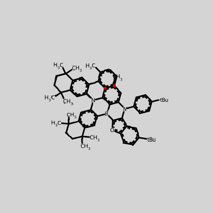 Cc1cc2c3c(c1)N(c1ccc(C(C)(C)C)cc1)c1c(oc4ccc(C(C)(C)C)cc14)B3c1cc3c(cc1N2c1cc2c(cc1-c1ccccc1C)C(C)(C)CCC2(C)C)C(C)(C)CCC3(C)C